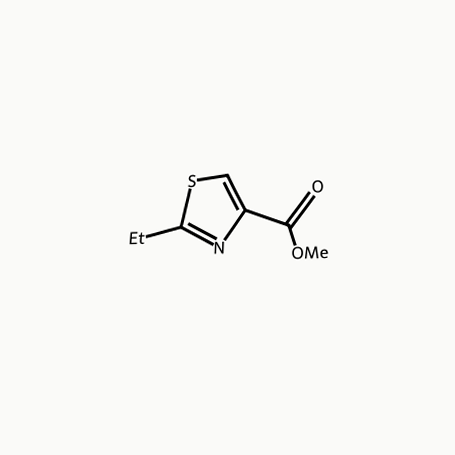 CCc1nc(C(=O)OC)cs1